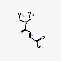 CCN(CC)C(=O)/C=C/C(C)=O